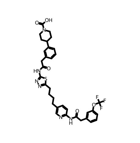 O=C(Cc1cccc(OC(F)(F)F)c1)Nc1ccc(CCCCc2nnc(NC(=O)Cc3cccc(C4CCN(C(=O)O)CC4)c3)s2)cn1